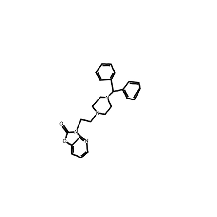 O=c1oc2cccnc2n1CCN1CCN(C(c2ccccc2)c2ccccc2)CC1